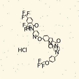 Cl.Cn1c(C(=O)N2CCN(Cc3ccc(OCC(F)(F)F)cc3)CC2)cc2ccc(Oc3ccc(NC(=O)c4ccc(C(F)(F)F)cc4C(F)(F)F)cn3)cc21